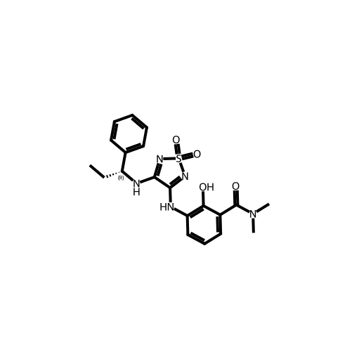 CC[C@@H](NC1=NS(=O)(=O)N=C1Nc1cccc(C(=O)N(C)C)c1O)c1ccccc1